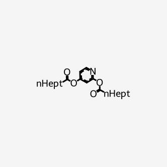 CCCCCCCC(=O)Oc1ccnc(OC(=O)CCCCCCC)c1